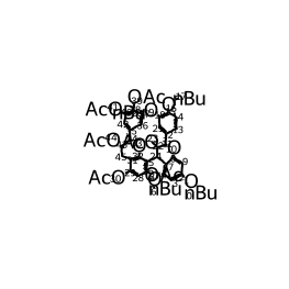 CCCCOc1cc(OCCCC)c2c(c1)OC(c1ccc(OCCCC)c(OCCCC)c1)C(OC(C)=O)C2c1c(OC(C)=O)cc(OC(C)=O)c2c1OC(c1ccc(OC(C)=O)c(OC(C)=O)c1)C(OC(C)=O)C2